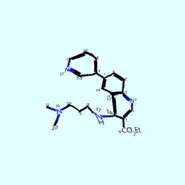 CCOC(=O)c1cnc2ccc(-c3cccnc3)cc2c1NCCCN(C)C